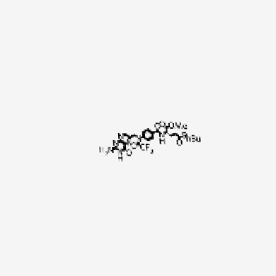 CCCCOC(=O)CC[C@H](NC(=O)c1ccc(N(Cc2cnc3nc(N)[nH]c(=O)c3n2)C(=O)C(F)(F)F)cc1)C(=O)OC